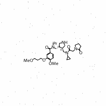 COCCCOc1cc(C(=O)N(C[C@@H]2CNC[C@H]2CN(C(=O)CN2CCCC2=O)C2CC2)C(C)C)ccc1OC